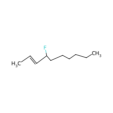 CC=CC(F)CCCCCC